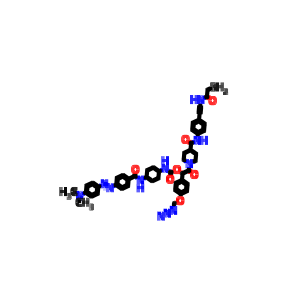 BCC(=O)NC#Cc1ccc(NC(=O)C2CCN(C(=O)C(OC(=O)NC3CCC(NC(=O)c4ccc(/N=N/c5ccc(N(C)C)cc5)cc4)CC3)c3ccc(OCN=[N+]=[N-])cc3)CC2)cc1